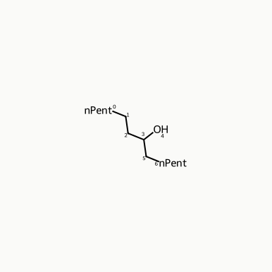 CCCCCCCC(O)CCCCCC